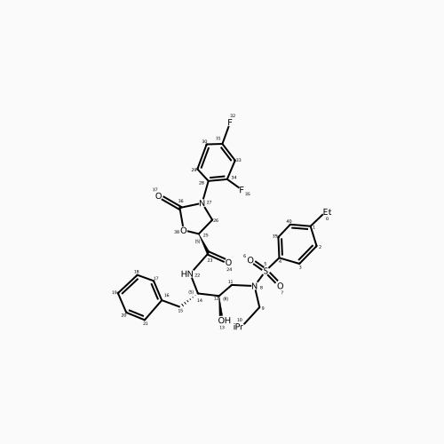 CCc1ccc(S(=O)(=O)N(CC(C)C)C[C@@H](O)[C@H](Cc2ccccc2)NC(=O)[C@@H]2CN(c3ccc(F)cc3F)C(=O)O2)cc1